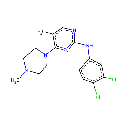 CN1CCN(c2nc(Nc3ccc(Cl)c(Cl)c3)ncc2C(F)(F)F)CC1